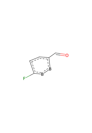 O=Cc1bbc(F)cc1